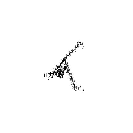 CCCCCCCCCCCN(CCCCCCCCCCC)CCCN(CCCCCCCCCCC)CCCOP(=O)(OCC)OCC